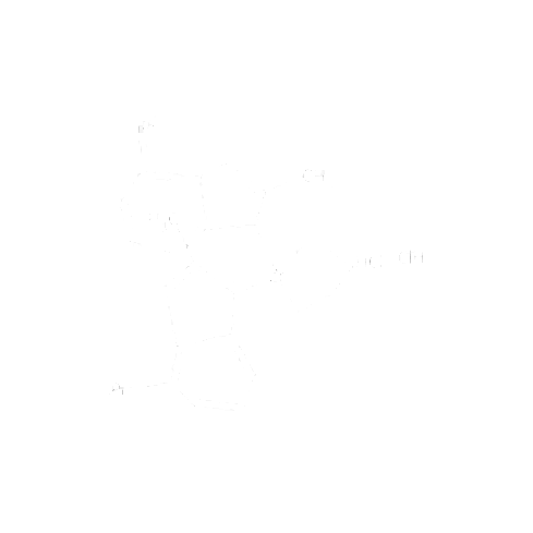 CC1=Cc2c(C(C)C)cccc2[CH]1[Zr]1([CH]2C(C)=Cc3c(C(C)C)cccc32)[CH2]CC[CH2]1.Cl.Cl